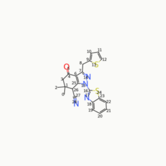 CC1(C)CC(=O)c2c(Cc3cccs3)nn(-c3nc4ccccc4s3)c2C1C#N